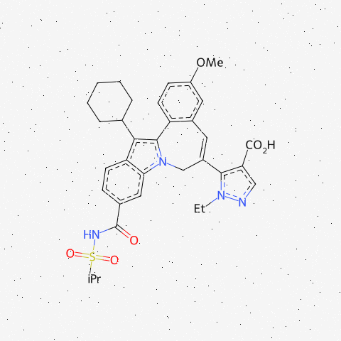 CCn1ncc(C(=O)O)c1C1=Cc2cc(OC)ccc2-c2c(C3CCCCC3)c3ccc(C(=O)NS(=O)(=O)C(C)C)cc3n2C1